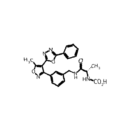 Cc1onc(-c2cccc(CNC(=O)[C@H](C)NC(=O)O)c2)c1-c1nnc(-c2ccccc2)o1